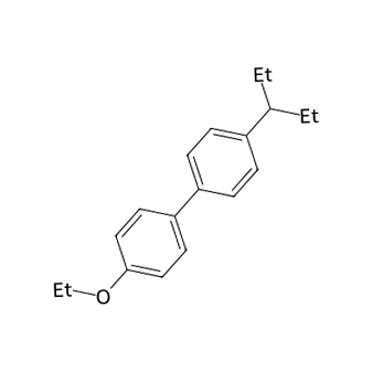 CCOc1ccc(-c2ccc(C(CC)CC)cc2)cc1